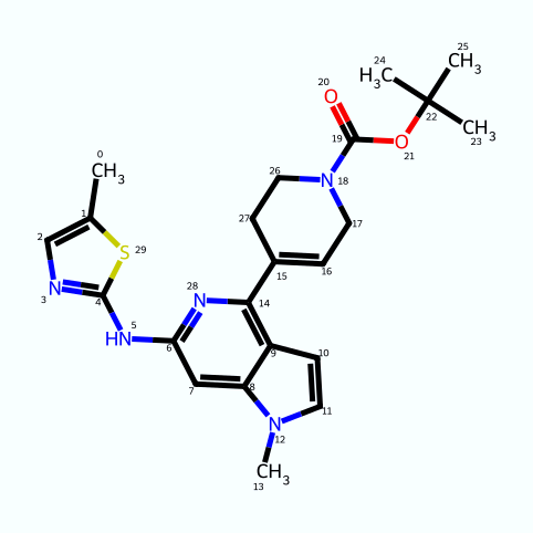 Cc1cnc(Nc2cc3c(ccn3C)c(C3=CCN(C(=O)OC(C)(C)C)CC3)n2)s1